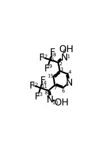 O/N=C(/c1cncc(/C(=N\O)C(F)(F)F)c1)C(F)(F)F